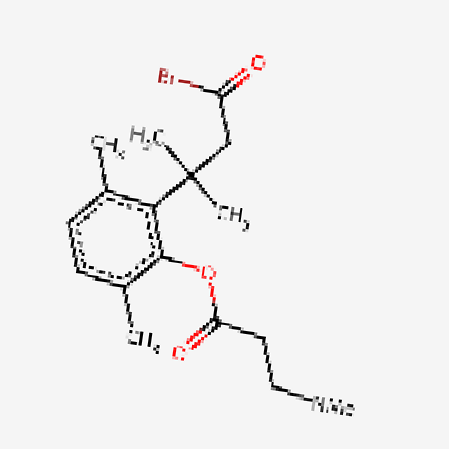 CNCCC(=O)Oc1c(C)ccc(C)c1C(C)(C)CC(=O)Br